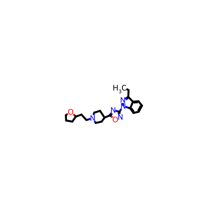 CCc1nn(-c2noc(C3CCN(CCC4CCCO4)CC3)n2)c2ccccc12